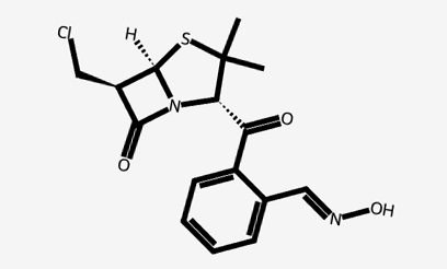 CC1(C)S[C@@H]2[C@H](CCl)C(=O)N2[C@H]1C(=O)c1ccccc1C=NO